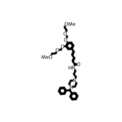 COCCOCOc1ccc(C=CC=CC(=O)NCCCN2CCN(C(c3ccccc3)c3ccccc3)CC2)cc1OCOCCOC